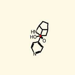 O=C(O)C1C2CCC1NC(c1ccncc1)C2